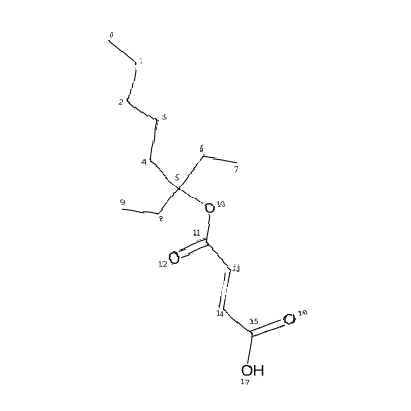 CCCCCC(CC)(CC)OC(=O)C=CC(=O)O